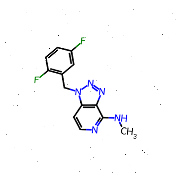 CNc1nccc2c1nnn2Cc1cc(F)ccc1F